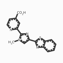 Cn1cc(-c2nc3ccccc3s2)nc1-c1cc(C(=O)O)ccn1